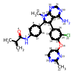 C=C(C)C(=O)Nc1ccc(-c2c(-c3ccc(Oc4ccnc(C)n4)c(Cl)c3)c3c(N)ncnc3n2C)cc1